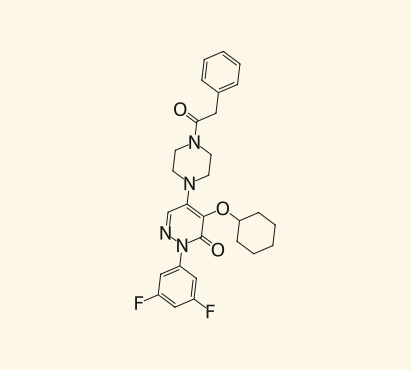 O=C(Cc1ccccc1)N1CCN(c2cnn(-c3cc(F)cc(F)c3)c(=O)c2OC2CCCCC2)CC1